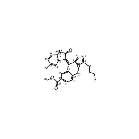 CCCCc1ncc(/C=C2\C(=O)Nc3ccc(C)cc32)n1Cc1ccc(C(=O)OC)cc1